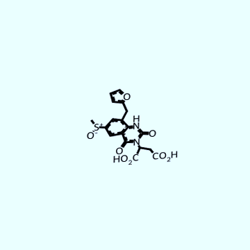 C[S+]([O-])c1cc(Cc2ccco2)c2[nH]c(=O)n(C(CC(=O)O)C(=O)O)c(=O)c2c1